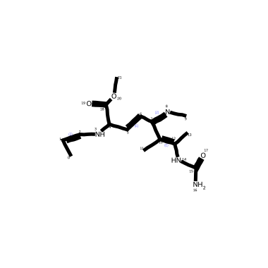 C/C=C\NC(/C=C/C(=N/C)C(/C)=C(\C)NC(N)=O)C(=O)OC